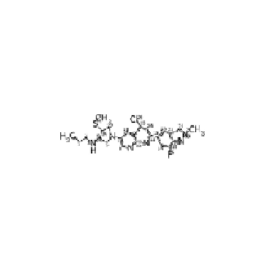 CCCN[C@@H]1CN(c2cnc3nc(-c4cc(F)c5nn(C)cc5c4)cc(Cl)c3c2)CC1SC